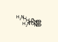 NCCCC[C@H](N)C(=O)OC(N=C=O)N=C=O